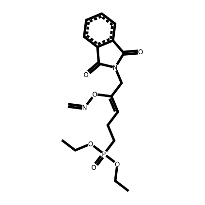 C=NO/C(=C\CCP(=O)(OCC)OCC)CN1C(=O)c2ccccc2C1=O